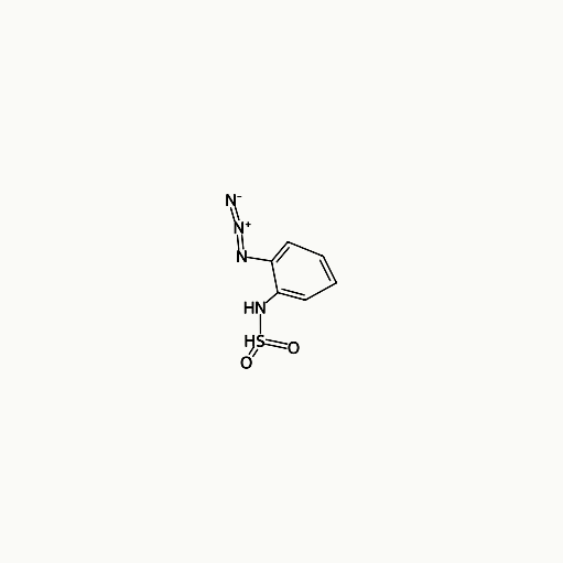 [N-]=[N+]=Nc1ccccc1N[SH](=O)=O